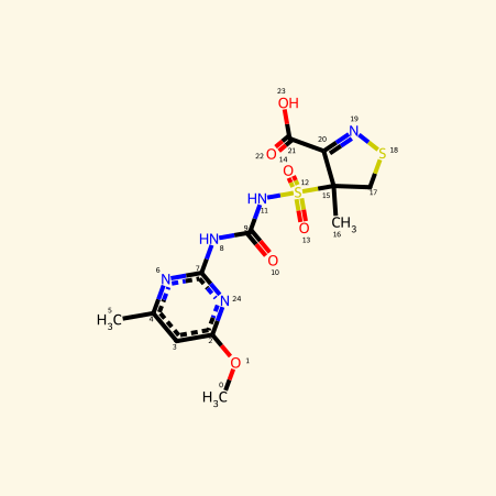 COc1cc(C)nc(NC(=O)NS(=O)(=O)C2(C)CSN=C2C(=O)O)n1